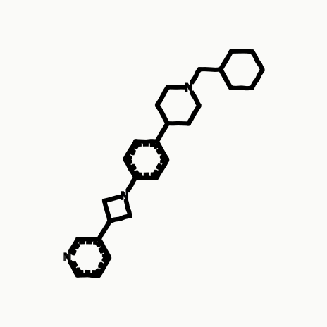 c1cncc(C2CN(c3ccc(C4CCN(CC5CCCCC5)CC4)cc3)C2)c1